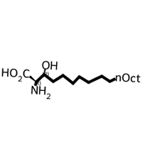 CCCCCCCCCCCCCCC[C@@H](O)[C@@H](N)C(=O)O